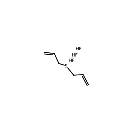 C=CCSCC=C.F.F.F